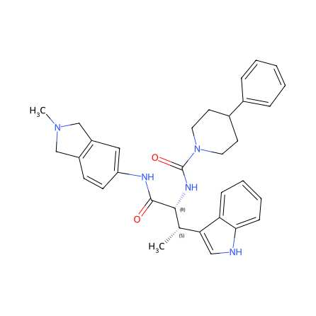 C[C@@H](c1c[nH]c2ccccc12)[C@@H](NC(=O)N1CCC(c2ccccc2)CC1)C(=O)Nc1ccc2c(c1)CN(C)C2